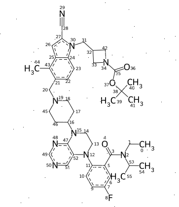 CCN(C(=O)c1cc(F)ccc1N1CCN(C2CCN(Cc3ccc4c(cc(C#N)n4CC4CN(C(=O)OC(C)(C)C)C4)c3C)CC2)c2ncncc21)C(C)C